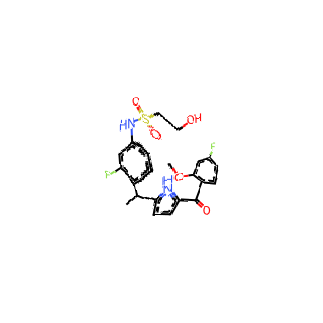 COc1cc(F)ccc1C(=O)c1ccc(C(C)c2ccc(NS(=O)(=O)CCO)cc2F)[nH]1